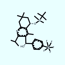 Cc1c([C@@H](O)c2ccc(S(F)(F)(F)(F)F)cc2)c(C(C)C)nc2c1[C@@H](O[Si](C)(C)C(C)(C)C)CC(C)(C)C2